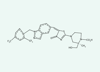 C[C@]1(CO)CN(C2=NC(=O)C(=Cc3ccc4c(cnn4Cc4ccc(C(F)(F)F)cc4C(F)(F)F)c3)S2)CCN1C(=O)O